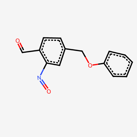 O=Cc1ccc(COc2ccccc2)cc1N=O